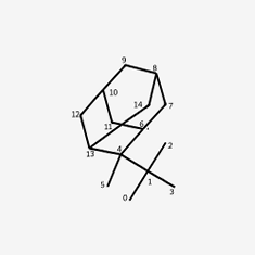 CC(C)(C)C1(C)[C]2CC3CC(C2)CC1C3